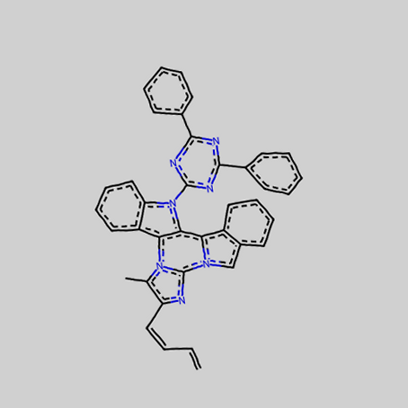 C=C/C=C\c1nc2n3cc4ccccc4c3c3c(c4ccccc4n3-c3nc(-c4ccccc4)nc(-c4ccccc4)n3)n2c1C